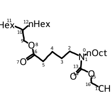 CCCCCCCCN(CCCCC(=O)OCC(CCCCCC)CCCCCC)C(=O)OCC=O